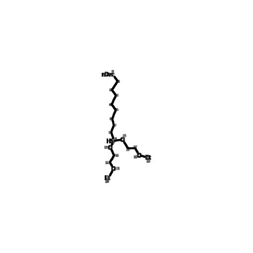 CCCCCCCCCCCCCCCCCC[SiH](OCCOCC)OCCOCC